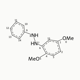 COc1ccc(OC)c(NNc2ccccc2)c1